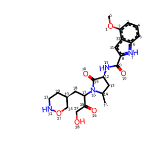 COc1cccc2[nH]c(C(=O)N[C@H]3CC(C)N(C(C[C@@H]4CCNOC4)C(=O)CO)C3=O)cc12